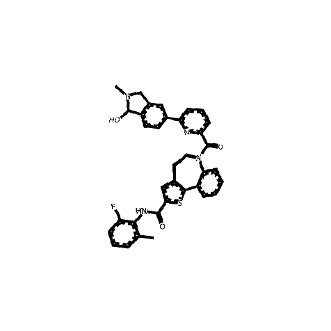 Cc1cccc(F)c1NC(=O)c1cc2c(s1)-c1ccccc1N(C(=O)c1cccc(-c3ccc4c(c3)CN(C)C4O)n1)CC2